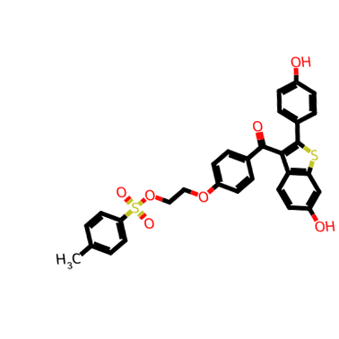 Cc1ccc(S(=O)(=O)OCCOc2ccc(C(=O)c3c(-c4ccc(O)cc4)sc4cc(O)ccc34)cc2)cc1